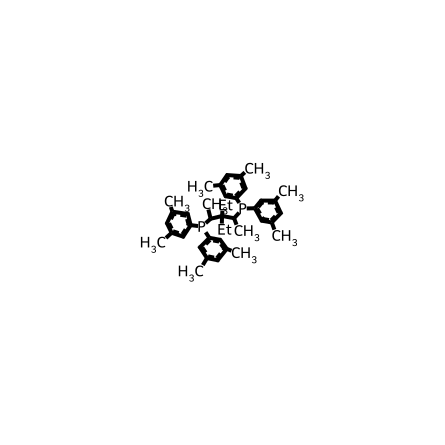 CCC(CC)(C(C)P(c1cc(C)cc(C)c1)c1cc(C)cc(C)c1)C(C)P(c1cc(C)cc(C)c1)c1cc(C)cc(C)c1